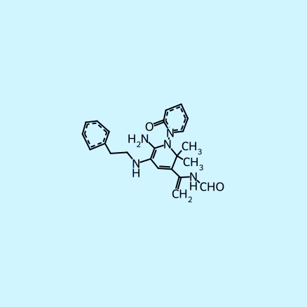 C=C(NC=O)C1=CC(NCCc2ccccc2)=C(N)N(n2ccccc2=O)C1(C)C